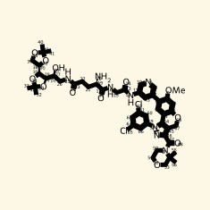 COc1cc2c(cc1-c1cncc(NC(=O)CNC(=O)[C@@H](N)CCC(=O)NC[C@H](O)[C@H]3OC(C)(C)OC3[C@H]3COC(C)(C)O3)c1)-c1c(c(C(=O)N3CCOCC3(C)C)nn1-c1cc(Cl)cc(Cl)c1)CO2